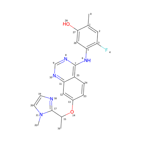 Cc1cc(F)c(Nc2ncnc3cc(OC(C)c4nccn4C)ccc23)cc1O